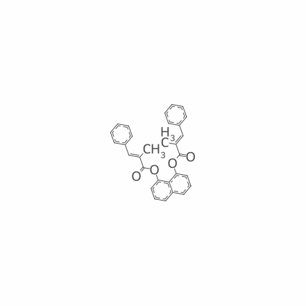 C/C(=C\c1ccccc1)C(=O)Oc1cccc2cccc(OC(=O)/C(C)=C/c3ccccc3)c12